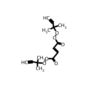 C#CC(C)(C)OOC(=O)C=CC(=O)OOC(C)(C)C#C